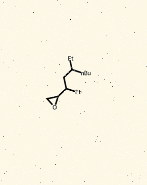 C[CH]C(CC(CC)CCCC)C1CO1